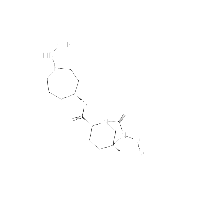 O=CBN1CCC[C@H](NC(=O)[C@@H]2CC[C@@H]3CN2C(=O)N3OS(=O)(=O)O)CC1